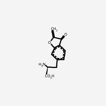 C=C1Oc2cc(C[C@H](N)C(=O)O)ccc2C1=O